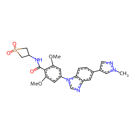 COc1cc(-n2cnc3cc(-c4cnn(C)c4)ccc32)cc(OC)c1C(=O)NC1CS(=O)(=O)C1